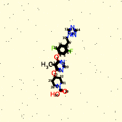 Cc1c(Oc2cc(F)c(CCn3cncn3)cc2F)ncnc1OC1CCN(C(=O)O)CC1